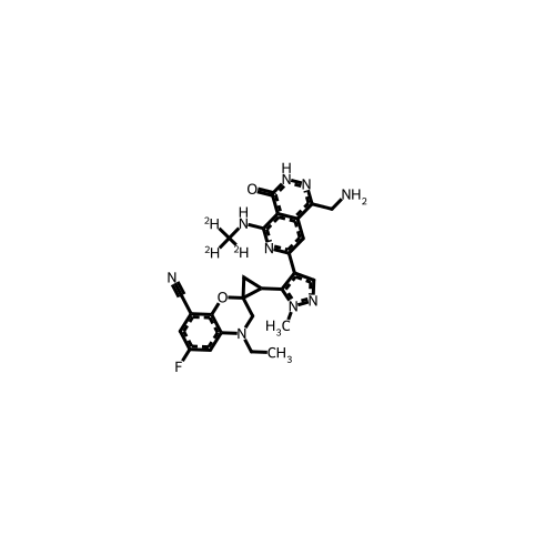 [2H]C([2H])([2H])Nc1nc(-c2cnn(C)c2C2CC23CN(CC)c2cc(F)cc(C#N)c2O3)cc2c(CN)n[nH]c(=O)c12